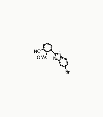 COc1c(C#N)cccc1-c1nc2cc(Br)ccc2s1